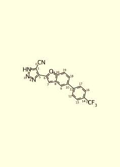 N#Cc1[nH]nnc1-c1cc2cc(-c3ccc(C(F)(F)F)cc3)ccc2o1